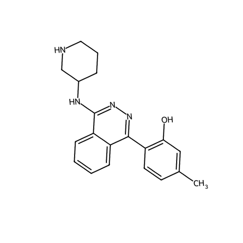 Cc1ccc(-c2nnc(NC3CCCNC3)c3ccccc23)c(O)c1